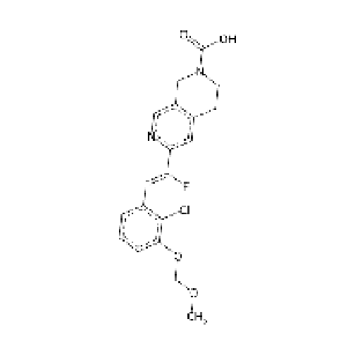 COCOc1cccc(/C=C(\F)c2cc3c(cn2)CN(C(=O)O)CC3)c1Cl